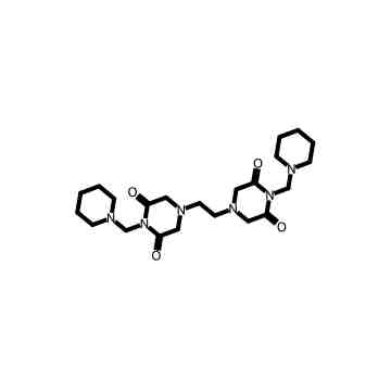 O=C1CN(CCN2CC(=O)N(CN3CCCCC3)C(=O)C2)CC(=O)N1CN1CCCCC1